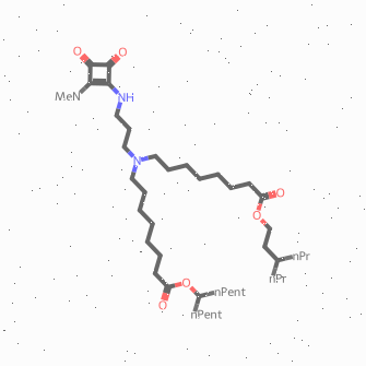 CCCCCC(CCCCC)OC(=O)CCCCCCCN(CCCCCCCC(=O)OCCC(CCC)CCC)CCCNc1c(NC)c(=O)c1=O